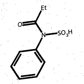 CCC(=O)N(c1cc[c]cc1)S(=O)(=O)O